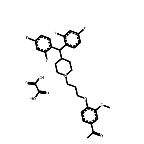 COc1cc(C(C)=O)ccc1OCCCN1CCC(C(c2ccc(F)cc2F)c2ccc(F)cc2F)CC1.O=C(O)C(=O)O